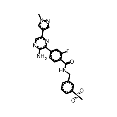 Cn1cc(-c2cnc(N)c(-c3ccc(C(=O)NCc4cccc(S(C)(=O)=O)c4)c(F)c3)n2)cn1